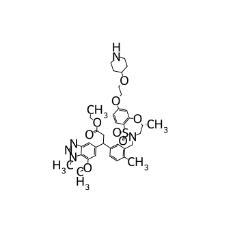 CCOC(=O)CC(c1ccc(C)c(CN2C[C@@H](C)Oc3cc(OCCOC4CCNCC4)ccc3S2(=O)=O)c1)c1cc(OC)c2c(c1)nnn2C